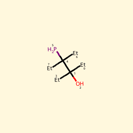 CCC(O)(CC)C(P)(CC)CC